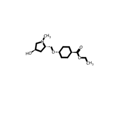 CCOC(=O)[C@H]1CC[C@H](OC[C@@H]2C[C@@H](O)CN2C)CC1